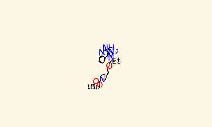 CCC(COCCC1CCN(C(=O)OC(C)(C)C)CC1)n1cnc2c(N)nc3ccccc3c21